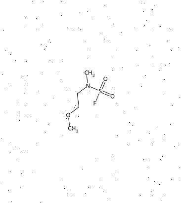 COCCN(C)S(=O)(=O)F